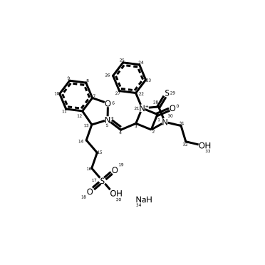 O=C1C2C(C=[N+]3Oc4ccccc4C3CCCS(=O)(=O)O)[N+]1(c1ccccc1)C(=S)N2CCO.[NaH]